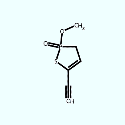 C#CC1=CCP(=O)(OC)S1